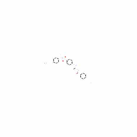 CCC(C)Oc1ccc(C(=O)NC(=S)Nc2ccc(S(=O)(=O)Nc3ccc(OC)cc3)cc2)cc1